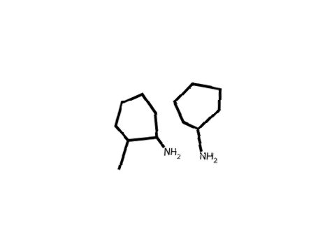 CC1CCCCC1N.NC1CCCCC1